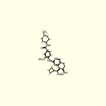 CN/C(=C1\C(=N)CCc2cnc(Nc3ccc(C(=O)NC4CCN(C)CC4)cc3OC)nc21)C1CCC1